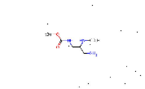 CC(C)(C)OC(=O)NCC(CN)NC(=O)O